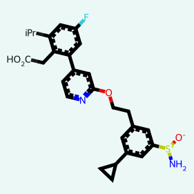 CC(C)c1cc(F)cc(-c2ccnc(OCCc3cc(C4CC4)cc([S+](N)[O-])c3)c2)c1CC(=O)O